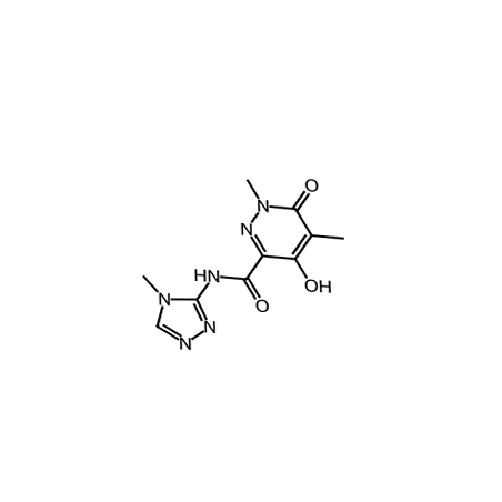 Cc1c(O)c(C(=O)Nc2nncn2C)nn(C)c1=O